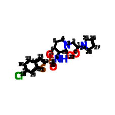 O=C(CN1CCC[C@H](NS(=O)(=O)c2cc3ccc(Cl)cc3s2)C1=O)N1CC=CC1